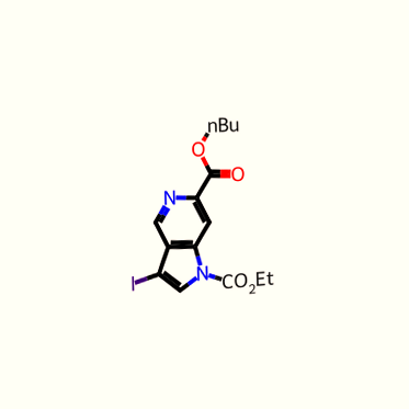 CCCCOC(=O)c1cc2c(cn1)c(I)cn2C(=O)OCC